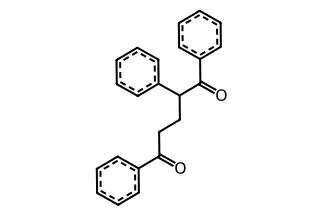 O=C(CCC(C(=O)c1ccccc1)c1ccccc1)c1ccccc1